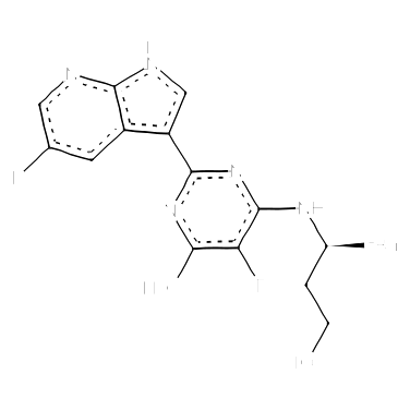 Cc1nc(-c2c[nH]c3ncc(F)cc23)nc(N[C@H](CCO)C(C)(C)C)c1F